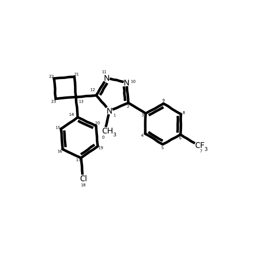 Cn1c(-c2ccc(C(F)(F)F)cc2)nnc1C1(c2ccc(Cl)cc2)CCC1